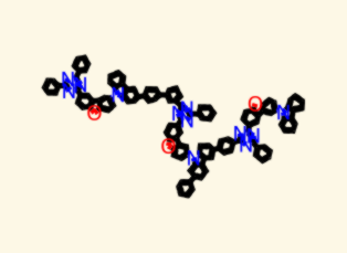 c1ccc(-c2ccc3c4cc(-c5ccc(-c6nc(-c7ccccc7)nc(-c7ccc8oc9ccc(-n%10c%11ccccc%11c%11ccccc%11%10)cc9c8c7)n6)cc5)ccc4n(-c4ccc5oc6ccc(-c7nc(-c8ccccc8)nc(-c8cccc(-c9ccc(-c%10ccc%11c(c%10)c%10ccccc%10n%11-c%10ccc%11oc%12ccc(-c%13nc(-c%14ccccc%14)nc(-c%14ccccc%14)n%13)cc%12c%11c%10)cc9)c8)n7)cc6c5c4)c3c2)cc1